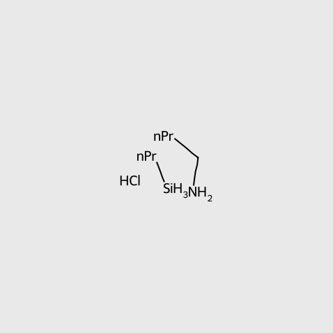 CCCCN.CCC[SiH3].Cl